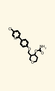 NC(=O)OC1CCOCC1COc1ccc(-c2ccc(Cl)cn2)cc1